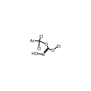 CCOC(=NO)OC(Cl)(Cl)C(C)=O